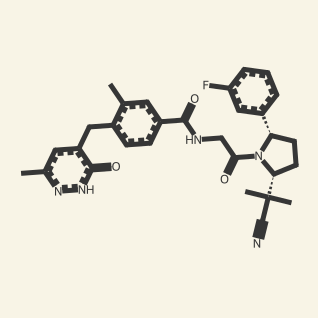 Cc1cc(Cc2ccc(C(=O)NCC(=O)N3[C@H](c4cccc(F)c4)CC[C@@H]3C(C)(C)C#N)cc2C)c(=O)[nH]n1